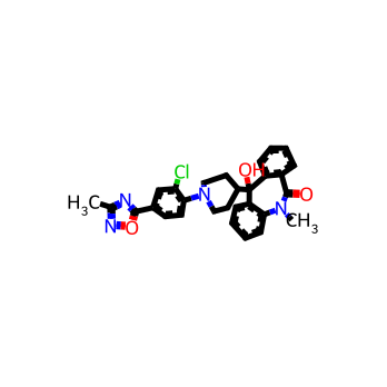 Cc1noc(-c2ccc(N3CCC(C4(O)c5ccccc5C(=O)N(C)c5ccccc54)CC3)c(Cl)c2)n1